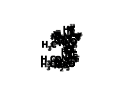 BC(=O)C(NC(=O)OC(C)(C)C)C(c1ccc(NC(=O)[C@@H](NC(=O)c2ccnn2CC)C(C2CC2)C2CC2)c(F)c1)C(F)(F)F